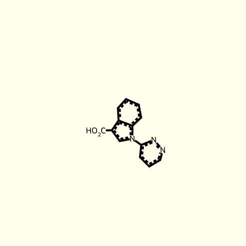 O=C(O)c1cn(-c2cccnn2)c2ccccc12